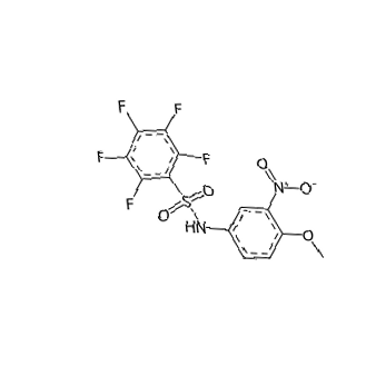 COc1ccc(NS(=O)(=O)c2c(F)c(F)c(F)c(F)c2F)cc1[N+](=O)[O-]